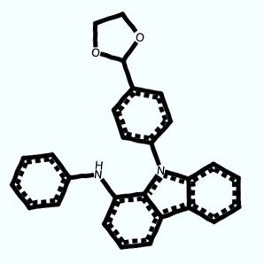 c1ccc(Nc2cccc3c4ccccc4n(-c4ccc(C5OCCO5)cc4)c23)cc1